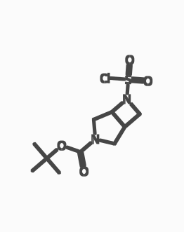 CC(C)(C)OC(=O)N1CC2CN(S(=O)(=O)Cl)C2C1